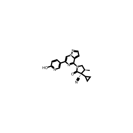 C[C@@H]1CN(c2nc(-c3ccc(O)nc3)cn3nccc23)C(=O)[C@]1(C#N)C1CC1